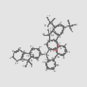 CC(C)(C)c1cc2c(c(C(C)(C)C)c1)C(C)(C)c1cc(N(c3ccc4c(c3)C(C)(C)C3=C4C=CCC3)c3ccccc3-c3ccccc3)ccc1-2